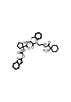 NC1(C(=O)NCCNC(=O)[C@@H](Cc2ccccc2)NC(=O)C2(NC(=O)Oc3cc4ccccc4s3)CCCC2)CCCCC1